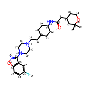 CC1(C)CC(CC(=O)NC2CCC(CCN3CCN(c4noc5ccc(F)cc45)CC3)CC2)CCO1